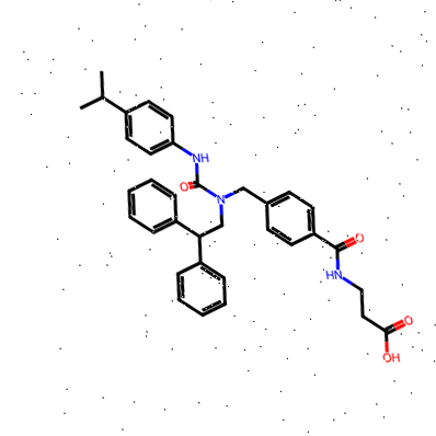 CC(C)c1ccc(NC(=O)N(Cc2ccc(C(=O)NCCC(=O)O)cc2)CC(c2ccccc2)c2ccccc2)cc1